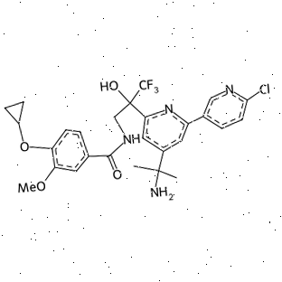 COc1cc(C(=O)NCC(O)(c2cc(C(C)(C)N)cc(-c3ccc(Cl)nc3)n2)C(F)(F)F)ccc1OC1CC1